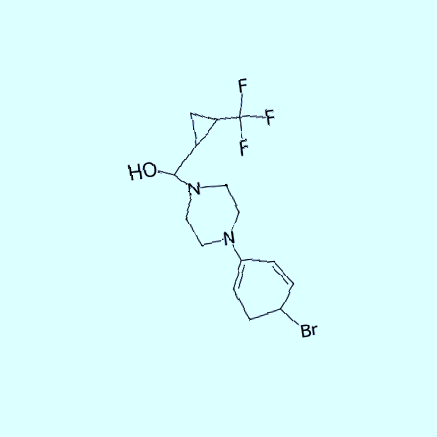 OC(C1CC1C(F)(F)F)N1CCN(C2=CCC(Br)C=C2)CC1